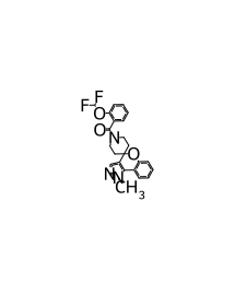 Cn1ncc2c1-c1ccccc1OC21CCN(C(=O)c2ccccc2OC(F)F)CC1